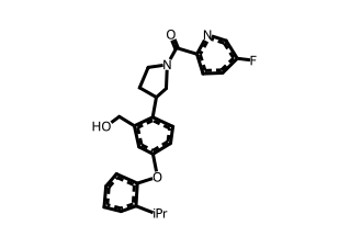 CC(C)c1ccccc1Oc1ccc(C2CCN(C(=O)c3ccc(F)cn3)C2)c(CO)c1